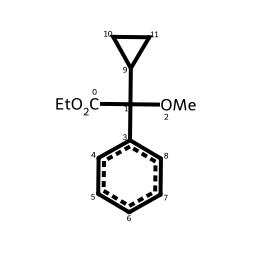 CCOC(=O)C(OC)(c1ccccc1)C1CC1